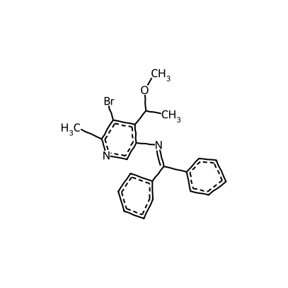 COC(C)c1c(N=C(c2ccccc2)c2ccccc2)cnc(C)c1Br